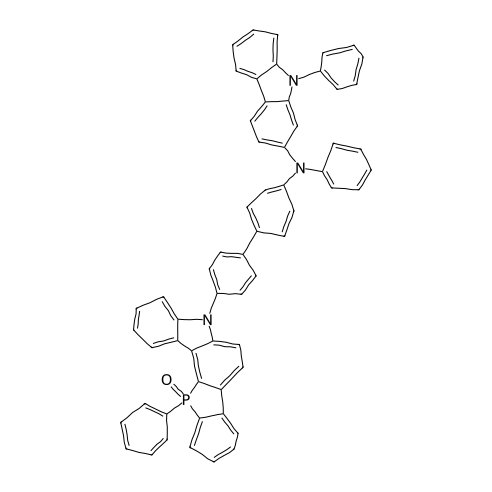 O=P1(c2ccccc2)c2ccccc2-c2ccc3c(c21)c1ccccc1n3-c1ccc(-c2ccc(N(c3ccccc3)c3ccc4c5ccccc5n(-c5ccccc5)c4c3)cc2)cc1